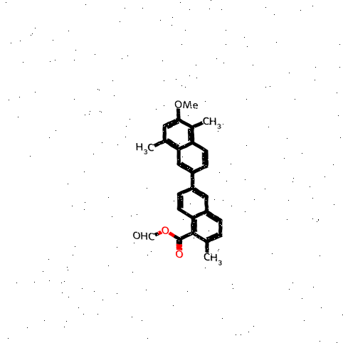 COc1cc(C)c2cc(-c3ccc4c(C(=O)OC=O)c(C)ccc4c3)ccc2c1C